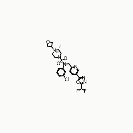 C[C@@H]1CN(S(=O)(=O)N(Cc2ccc(-c3nnc(C(F)F)o3)cn2)c2cccc(Cl)c2)CCN1C1COC1